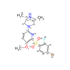 COc1ccc(N2C[C@@H](C)N[C@@H](C)C2)nc1S(=O)(=O)c1ccc(Br)cc1F